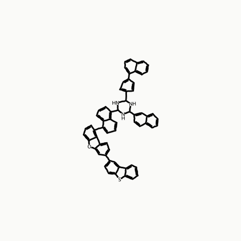 c1ccc2cc(C3NC(c4ccc(-c5cccc6ccccc56)cc4)NC(c4cccc5c(-c6cccc7oc8cc(-c9ccc%10sc%11ccccc%11c%10c9)ccc8c67)cccc45)N3)ccc2c1